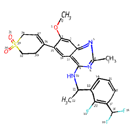 COc1cc2nc(C)nc(NC(C)c3cccc(C(F)F)c3F)c2cc1C1=CCS(=O)(=O)CC1